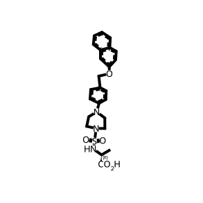 C[C@@H](NS(=O)(=O)N1CCN(c2ccc(COc3ccc4ccccc4c3)cc2)CC1)C(=O)O